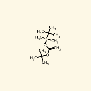 C=C(OC(C)(C)C)O[Si](C)(C)C(C)(C)C